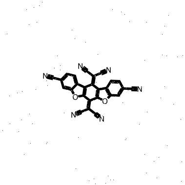 N#CC(C#N)=c1c2oc3cc(C#N)ccc3c2c(=C(C#N)C#N)c2c1oc1cc(C#N)ccc12